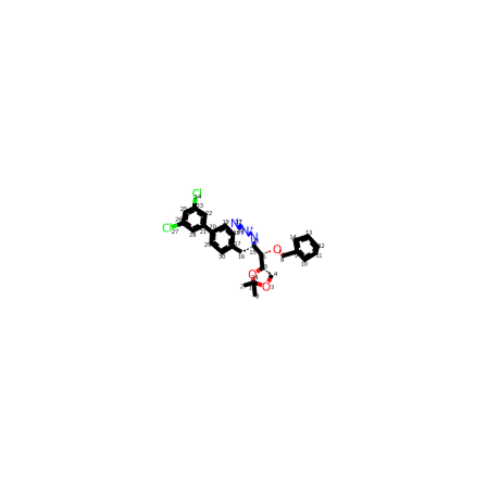 CC1(C)OC[C@@H]([C@@H](OCc2ccccc2)[C@H](Cc2ccc(-c3cc(Cl)cc(Cl)c3)cc2)N=[N+]=[N-])O1